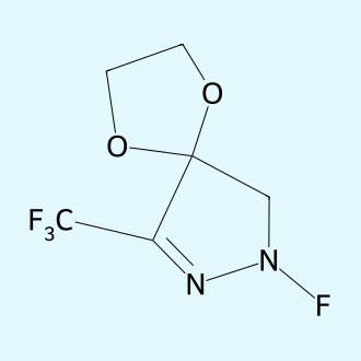 FN1CC2(OCCO2)C(C(F)(F)F)=N1